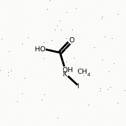 C.O=C(O)O.[K][I]